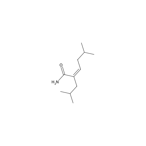 CC(C)C/C=C(/CC(C)C)C(N)=O